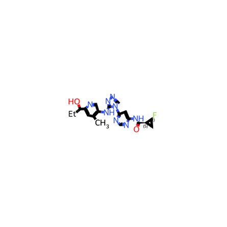 CCC(O)c1cc(C)c(Nc2nncn2-c2cc(NC(=O)[C@@H]3C[C@H]3F)ncn2)cn1